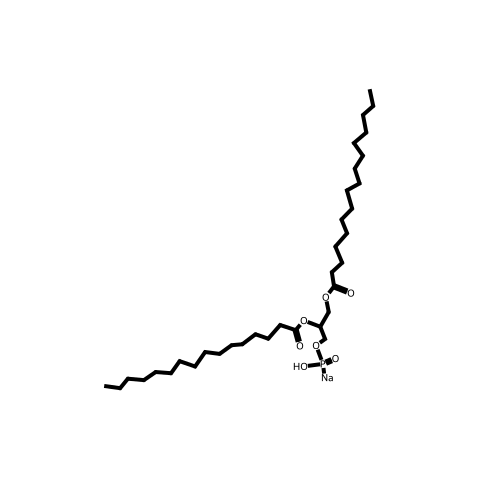 CCCCCCCCCCCCCCCC(=O)OCC(CO[P](=O)(O)[Na])OC(=O)CCCCCCCCCCCCCCC